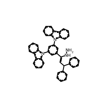 NN/C(=C\C(c1ccccc1)c1ccccc1)c1cc(-n2c3ccccc3c3ccccc32)cc(-n2c3ccccc3c3ccccc32)c1